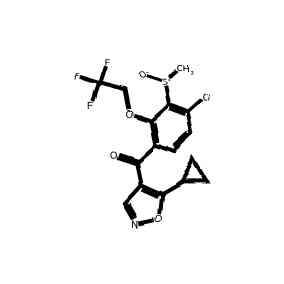 C[S+]([O-])c1c(Cl)ccc(C(=O)c2cnoc2C2CC2)c1OCC(F)(F)F